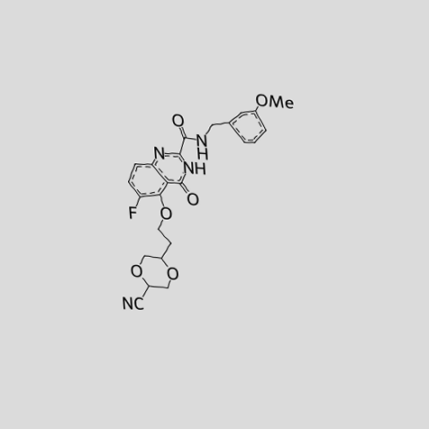 COc1cccc(CNC(=O)c2nc3ccc(F)c(OCCC4COC(C#N)CO4)c3c(=O)[nH]2)c1